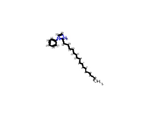 CCCCCCCCCCCCCCCCCc1nccn1-c1ccccc1